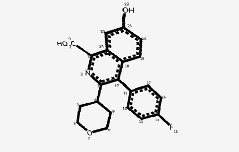 O=C(O)c1nc(C2CCOCC2)c(-c2ccc(F)cc2)c2ccc(O)cc12